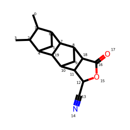 CC1C(C)C2CC1C1C3CC(C4C(C#N)OC(=O)C34)C21